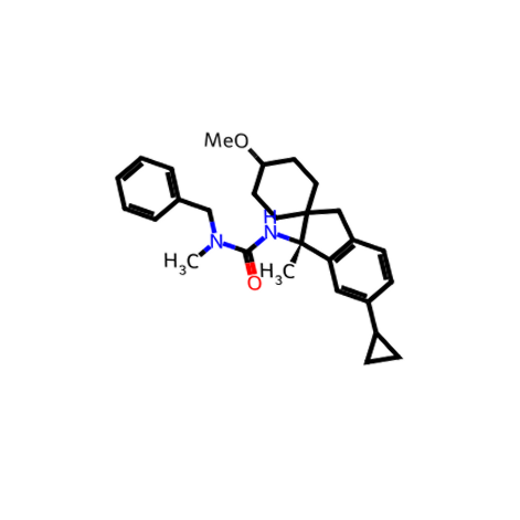 COC1CCC2(CC1)Cc1ccc(C3CC3)cc1[C@]2(C)NC(=O)N(C)Cc1ccccc1